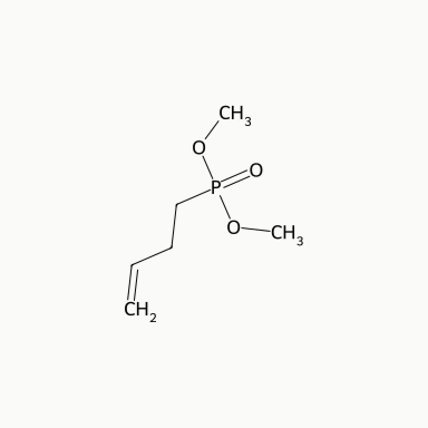 C=CCCP(=O)(OC)OC